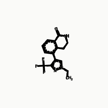 CCn1cc(-c2cccc3c2CCNC3=O)c(C(F)(F)F)n1